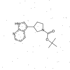 CC(C)(C)OC(=O)N1CCC(c2c[nH]c3ncccc23)C1